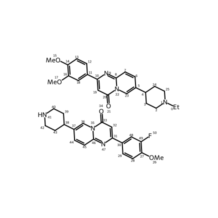 CCN1CCC(c2ccc3nc(-c4ccc(OC)c(OC)c4)cc(=O)n3c2)CC1.COc1ccc(-c2cc(=O)n3cc(C4CCNCC4)ccc3n2)cc1F